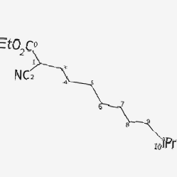 CCOC(=O)C(C#N)CCCCCCCC(C)C